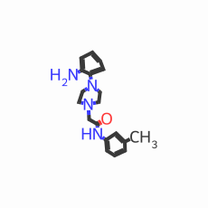 Cc1cccc(NC(=O)CN2CCN(c3ccccc3N)CC2)c1